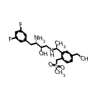 CCc1ccc(CS(C)(=O)=O)c([C@H](C)NC[C@@H](O)[C@@H](N)Cc2cc(F)cc(F)c2)c1